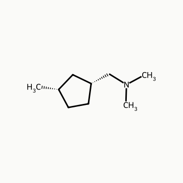 C[C@H]1CC[C@@H](CN(C)C)C1